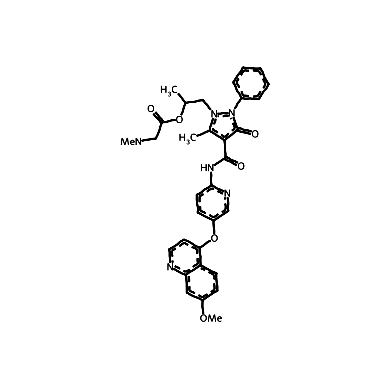 CNCC(=O)OC(C)Cn1c(C)c(C(=O)Nc2ccc(Oc3ccnc4cc(OC)ccc34)cn2)c(=O)n1-c1ccccc1